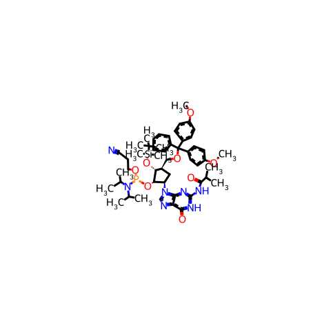 COc1ccc(C(OC[C@H]2C[C@@H](n3cnc4c(=O)[nH]c(NC(=O)C(C)C)nc43)[C@H](OP(OCCC#N)N(C(C)C)C(C)C)[C@@H]2O[Si](C)(C)C(C)(C)C)(c2ccccc2)c2ccc(OC)cc2)cc1